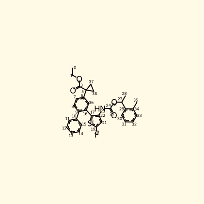 CCOC(=O)C1(c2ccc(-c3ccccc3)c(-c3sc(F)cc3NC(=O)OC(C)c3ccccc3C)c2)CC1